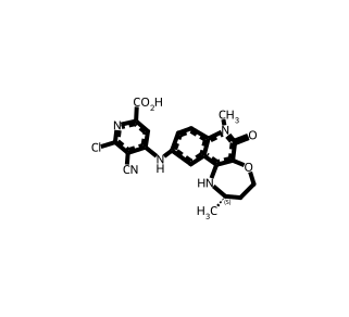 C[C@H]1CCOc2c(c3cc(Nc4cc(C(=O)O)nc(Cl)c4C#N)ccc3n(C)c2=O)N1